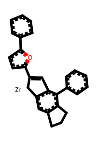 [CH]1C(c2ccc(-c3ccccc3)o2)=Cc2c1cc1c(c2-c2ccccc2)CCC1.[Zr]